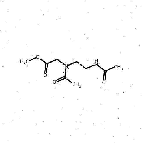 COC(=O)CN(CCNC(C)=O)C(C)=O